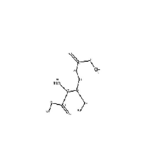 C=C(CO)CCC(CC)C(O)C(=C)CC